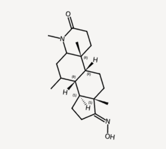 CC1CC2N(C)C(=O)CC[C@]2(C)[C@@H]2CC[C@]3(C)C(=NO)CC[C@H]3[C@H]12